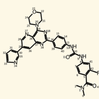 CN(C)C(=O)c1ccc(NC(=O)Nc2ccc(-c3nc(N4CCOCC4)c4ncc(-c5cccnc5)cc4n3)cc2)cc1F